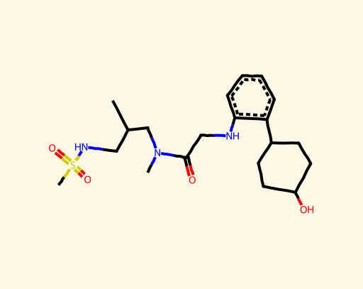 CC(CNS(C)(=O)=O)CN(C)C(=O)CNc1ccccc1C1CCC(O)CC1